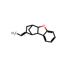 C/C=C1\CC2CC1C1c3ccccc3OC21